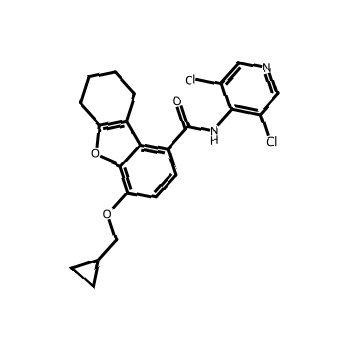 O=C(Nc1c(Cl)cncc1Cl)c1ccc(OCC2CC2)c2oc3c(c12)CCCC3